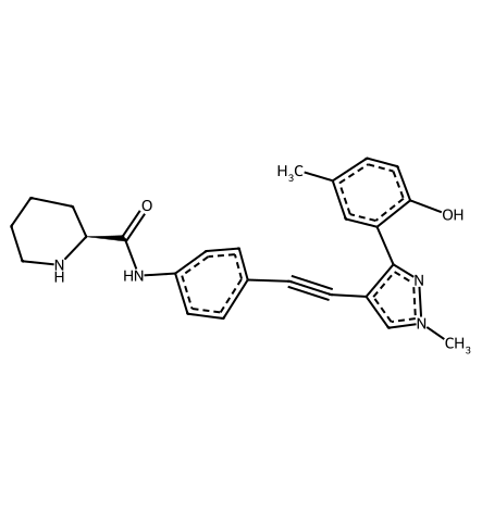 Cc1ccc(O)c(-c2nn(C)cc2C#Cc2ccc(NC(=O)[C@@H]3CCCCN3)cc2)c1